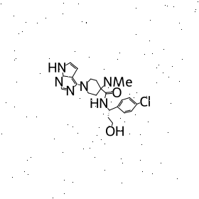 CNC1(C(=O)N[C@@H](CCO)c2ccc(Cl)cc2)CCN(c2ncnc3[nH]ccc23)CC1